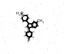 Cc1ccc2c(c1)C(C1=CCN(C)CC1)C=C2c1ccc(F)cc1